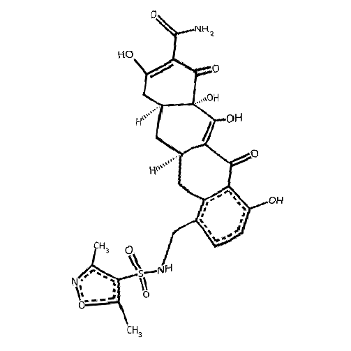 Cc1noc(C)c1S(=O)(=O)NCc1ccc(O)c2c1C[C@H]1C[C@H]3CC(O)=C(C(N)=O)C(=O)[C@@]3(O)C(O)=C1C2=O